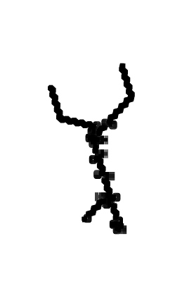 CCCCCCCC/C=C\CCCCCCCC(=O)OCC(COP(=O)(O)OCCNC(=O)CCCC(=O)NCCCCC(NC(=O)CCCCCOC)C(=O)NCCCCOP(C)(=O)O)OC(=O)CCCCCCC/C=C\CCCCCCCC